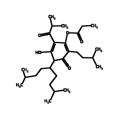 CCC(=O)OC1=C(CCC(C)C)C(=O)C(C(CCC(C)C)CCC(C)C)C(O)=C1C(=O)C(C)C